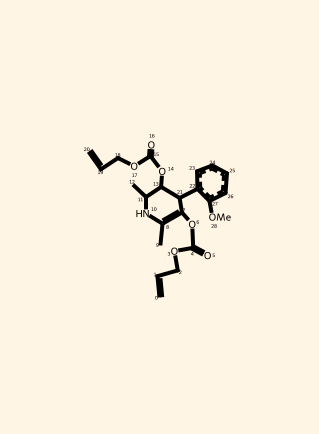 C=CCOC(=O)OC1=C(C)NC(C)C(OC(=O)OCC=C)C1c1ccccc1OC